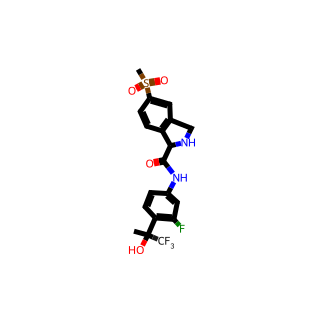 CC(O)(c1ccc(NC(=O)C2NCc3cc(S(C)(=O)=O)ccc32)cc1F)C(F)(F)F